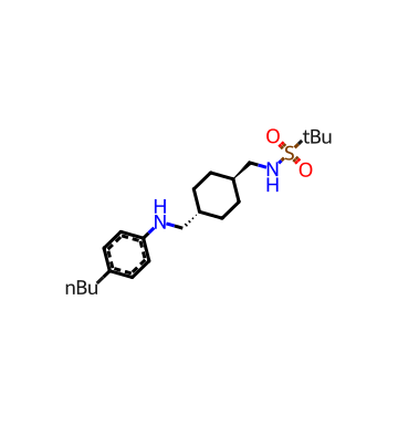 CCCCc1ccc(NC[C@H]2CC[C@H](CNS(=O)(=O)C(C)(C)C)CC2)cc1